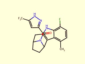 Cc1ccc(F)c2[nH]c3c(c12)C1CCC(C3)N1C(=O)c1cc(C(F)(F)F)[nH]n1